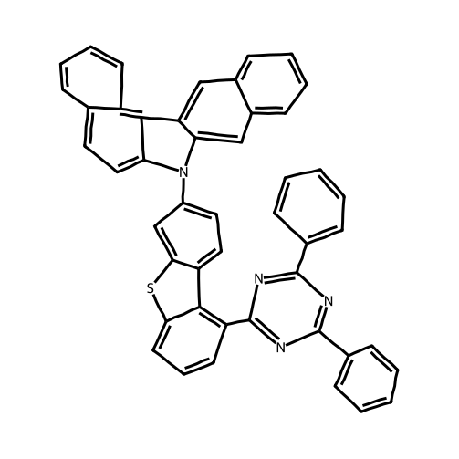 c1ccc(-c2nc(-c3ccccc3)nc(-c3cccc4sc5cc(-n6c7cc8ccccc8cc7c7c8ccccc8ccc76)ccc5c34)n2)cc1